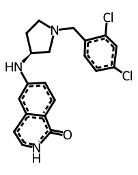 O=c1[nH]ccc2cc(N[C@H]3CCN(Cc4ccc(Cl)cc4Cl)C3)ccc12